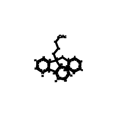 CC(=O)OCCCC1(Cc2ccncc2)c2cccnc2-c2ncccc21